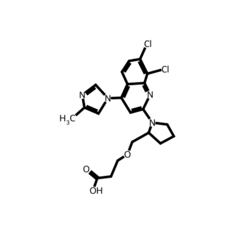 Cc1cn(-c2cc(N3CCCC3COCCC(=O)O)nc3c(Cl)c(Cl)ccc23)cn1